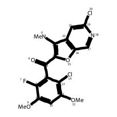 CNc1c(C(=O)c2c(F)c(OC)cc(OC)c2Cl)oc2cnc(Cl)cc12